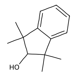 CC1(C)c2ccccc2C(C)(C)C1O